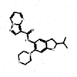 CC(C)C1Cc2cc(NC(=O)c3cnn4cccnc34)c(N3CCOCC3)cc2O1